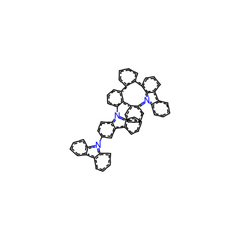 c1ccc2c(c1)c1cccc(-n3c4ccccc4c4cc(-n5c6ccccc6c6ccccc65)ccc43)c1c1ccccc1n1c3ccccc3c3cccc2c31